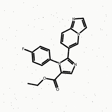 CCOC(=O)c1cnc(-c2ccc3nccn3c2)n1-c1ccc(F)cc1